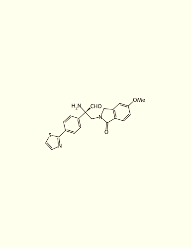 COc1ccc2c(c1)CN(C[C@](N)(C=O)c1ccc(-c3nccs3)cc1)C2=O